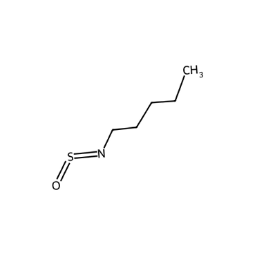 CCCCCN=S=O